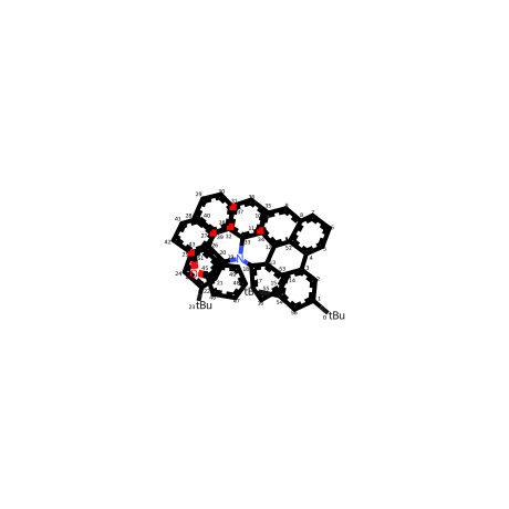 CC(C)(C)c1cc(-c2cccc3cccc(-c4ccccc4N(c4cc(C(C)(C)C)ccc4-c4ccccc4)c4ccccc4-c4cccc5oc6ccccc6c45)c23)cc(C(C)(C)C)c1